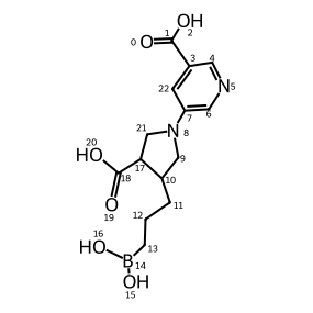 O=C(O)c1cncc(N2CC(CCCB(O)O)C(C(=O)O)C2)c1